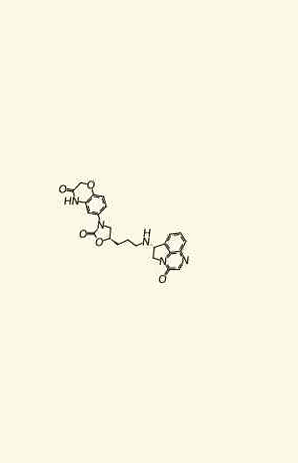 O=C1COc2ccc(N3C[C@@H](CCCN[C@H]4Cn5c(=O)cnc6cccc4c65)OC3=O)cc2N1